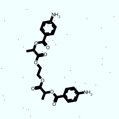 CC(OC(=O)c1ccc(N)cc1)C(=O)OCCOC(=O)C(C)OC(=O)c1ccc(N)cc1